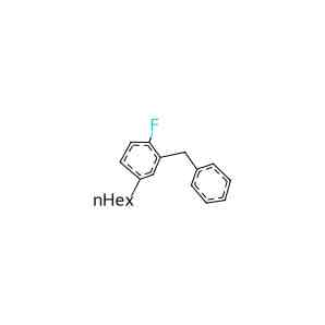 CCCCCCc1ccc(F)c(Cc2ccccc2)c1